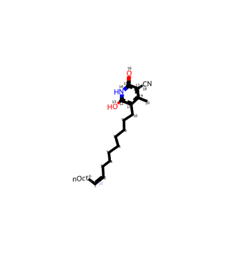 CCCCCCCC/C=C\CCCCCCCCc1c(O)[nH]c(=O)c(C#N)c1C